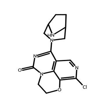 O=c1nc(N2CC3CCC(C2)N3)c2cnc(Cl)c3c2n1CCO3